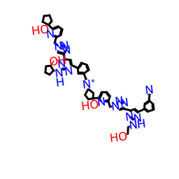 N#Cc1cccc(-c2cc(-c3cn(Cc4cccc(C5(O)CCC([N+]#Cc6cccc(-c7cc(-c8cn(Cc9cccc(C%10(O)CCCC%10)n9)nn8)nc(N[C@@H]8CCC[C@H]8O)n7)c6)C5)n4)nn3)nc(NCCO)n2)c1